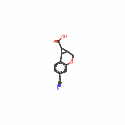 N#Cc1ccc2c(c1)OCC1C(C(=O)O)C21